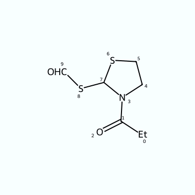 CCC(=O)N1CCSC1SC=O